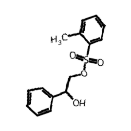 Cc1ccccc1S(=O)(=O)OCC(O)c1ccccc1